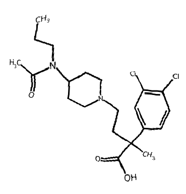 CCCN(C(C)=O)C1CCN(CCC(C)(C(=O)O)c2ccc(Cl)c(Cl)c2)CC1